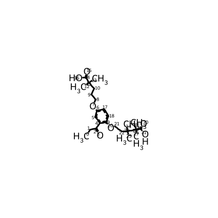 CCC(=O)c1cc(OCCCC(C)(C)C(=O)O)ccc1OCCC(C)(C)C(C)(C)C(=O)O